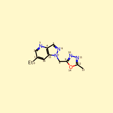 CCc1cnc2cnn(Cc3nnc(C)o3)c2c1